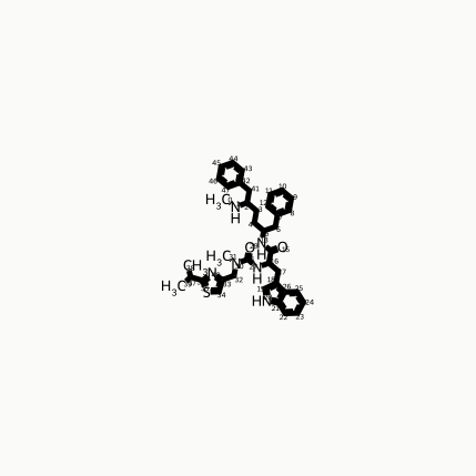 CNC(CCC(Cc1ccccc1)NC(=O)C(Cc1c[nH]c2ccccc12)NC(=O)N(C)Cc1csc(C(C)C)n1)Cc1ccccc1